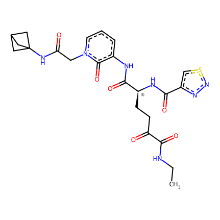 CCNC(=O)C(=O)CC[C@H](NC(=O)c1csnn1)C(=O)Nc1cccn(CC(=O)NC23CC(C2)C3)c1=O